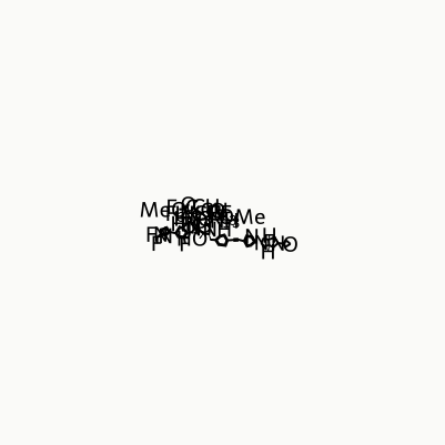 COC(=O)N[C@H](C(=O)N[C@@H](Cc1ccc(C#Cc2ccc(N3C[C@@H]4CN(C5COC5)C[C@@H]4C3)nc2)cc1)[C@@H](O)CN(Cc1c(F)cc(-c2ccn(C(F)F)n2)cc1F)NC(=O)[C@@H](NC(=O)OC)C(C)(C)C(F)(F)F)C(C)(C)C(F)(F)F